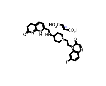 O=C(O)/C=C/C(=O)O.O=C1CCC2=CC=C(CNC3CCN(CCn4c(=O)cnc5ccc(F)cc54)CC3)NC2=N1